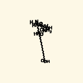 NCN[C@H](CCCCNC(=O)CCCCCCCCCCCCCCCCCCC(=O)O)C(=O)CN[C@@H](CO)C(N)=O